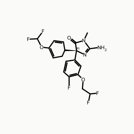 CN1C(=O)[C@](c2ccc(F)c(OCC(F)F)c2)(C2C=CC(OC(F)F)=CC2)N=C1N